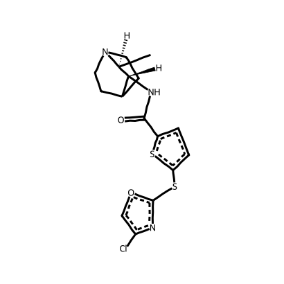 C[C@H]1[C@H](NC(=O)c2ccc(Sc3nc(Cl)co3)s2)C2CCN1CC2